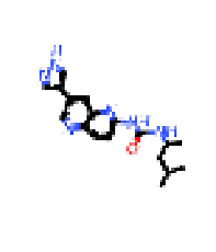 CC(C)CC(C)NC(=O)Nc1ccc2ncc(-c3cn[nH]c3)cc2n1